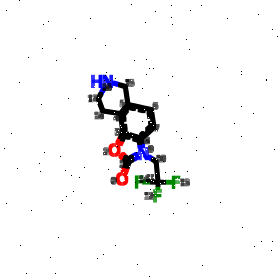 O=c1oc2c3c(ccc2n1CC(F)(F)F)CNCC3